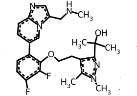 CNCc1cnc2ccc(-c3ccc(F)c(F)c3OCCc3c(C(C)(C)O)nn(C)c3C)cn12